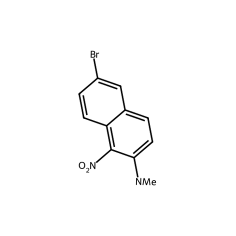 CNc1ccc2cc(Br)ccc2c1[N+](=O)[O-]